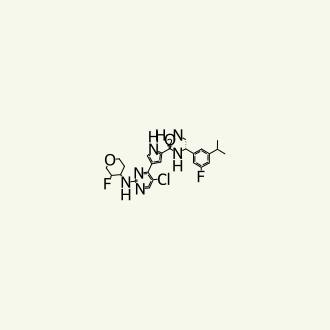 CC(C)c1cc(F)cc([C@@H](CN)NC(=O)c2cc(-c3nc(N[C@@H]4CCOC[C@@H]4F)ncc3Cl)c[nH]2)c1